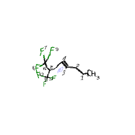 CCC/C=C/C(C(F)(F)F)C(F)(F)F